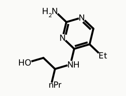 CCCC(CO)Nc1nc(N)ncc1CC